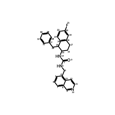 O=C(NCc1cccc2cnccc12)NC1CCc2cc(F)ccc2C1Cc1ccccc1